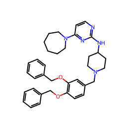 c1ccc(COc2ccc(CN3CCC(Nc4nccc(N5CCCCCC5)n4)CC3)cc2OCc2ccccc2)cc1